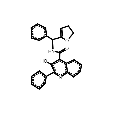 O=C(NC(C1=CCCO1)c1ccccc1)c1c(O)c(-c2ccccc2)nc2ccccc12